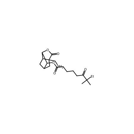 CCC(C)(C)C(=O)CCCCC(=O)OC1C2CC3C1OC(=O)C3(CN)C2